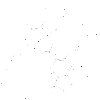 CC(C)C(C)(NC(=O)c1nc2c(cnn2C)cc1C(=O)O)C(N)=O